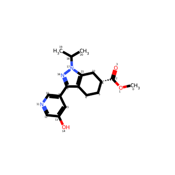 COC(=O)[C@@H]1CCc2c(-c3cncc(O)c3)nn(C(C)C)c2C1